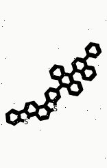 c1ccc(-c2ccc(-c3c4ccccc4c(-c4ccc5c(c4)sc4ccc6c(ccc7c8ccccc8sc76)c45)c4ccccc34)c3ccccc23)cc1